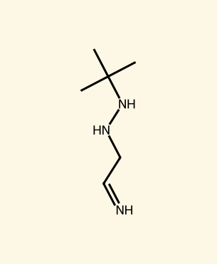 CC(C)(C)NNCC=N